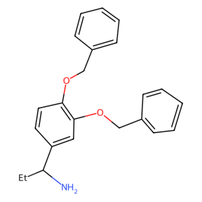 CCC(N)c1ccc(OCc2ccccc2)c(OCc2ccccc2)c1